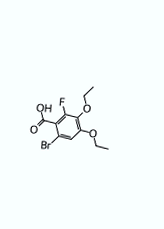 CCOc1cc(Br)c(C(=O)O)c(F)c1OCC